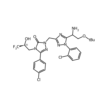 CC(C)(C)OCC(N)c1nc(Cn2nc(-c3ccc(Cl)cc3)n(C[C@H](O)C(F)(F)F)c2=O)nn1-c1ccccc1Cl